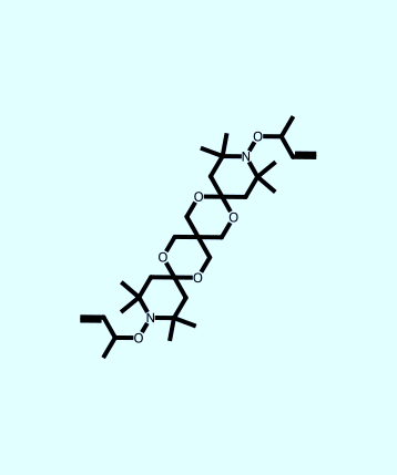 C=CC(C)ON1C(C)(C)CC2(CC1(C)C)OCC1(CO2)COC2(CC(C)(C)N(OC(C)C=C)C(C)(C)C2)OC1